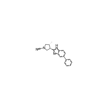 C[C@H]1CN(C#N)C[C@@H]1c1nc2cc(-c3ccccc3)ccc2[nH]1